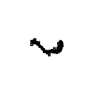 COc1ccc2c(c1)C(c1ccc(Cl)cc1)=N[C@@H](CC(=O)NCCOCCOCCOCCOCCOCCOCCC(=O)NCCCN(C)CCCNC(=O)CCNC(=O)c1nc(NC(=O)CCNC(=O)c3cc(NC(=O)c4nc(NC(=O)CCNC(=O)c5cc(NC(=O)c6nccn6C(C)C)cn5C)cn4C(C)C)cn3C)cn1C(C)C)c1nnc(C)n1-2